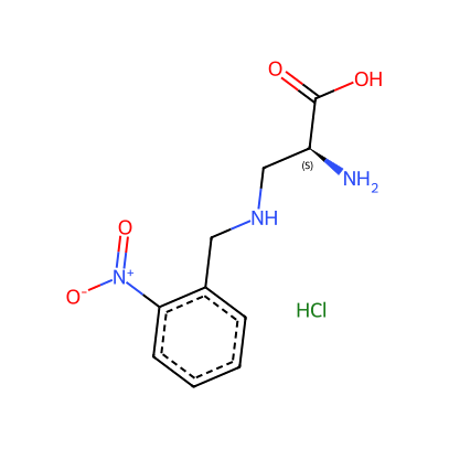 Cl.N[C@@H](CNCc1ccccc1[N+](=O)[O-])C(=O)O